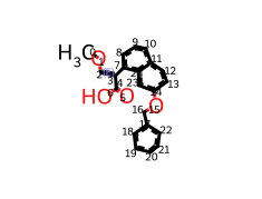 CO/C=C(/C(=O)O)c1cccc2ccc(OCc3ccccc3)cc12